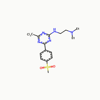 CCN(CC)CCNc1nc(-c2ccc(S(C)(=O)=O)cc2)nc(C(Cl)(Cl)Cl)n1